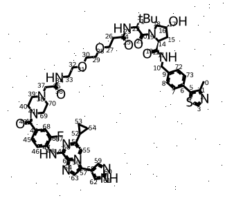 Cc1ncsc1-c1ccc(CNC(=O)[C@@H]2C[C@@H](O)CN2C(=O)[C@@H](NC(=O)CCOCCOCCNC(=O)CN2CCN(C(=O)c3ccc(Nc4nc(C5CC5)cn5c(-c6cn[nH]c6)cnc45)c(F)c3)CC2)C(C)(C)C)cc1